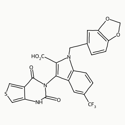 O=C(O)c1c(-n2c(=O)[nH]c3cscc3c2=O)c2cc(C(F)(F)F)ccc2n1Cc1ccc2c(c1)OCO2